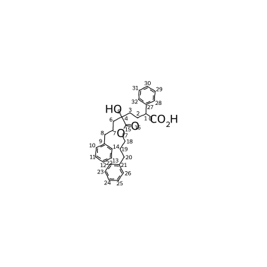 O=C(O)C(CCC(O)(CCCc1ccccc1)C(=O)OCCCc1ccccc1)c1ccccc1